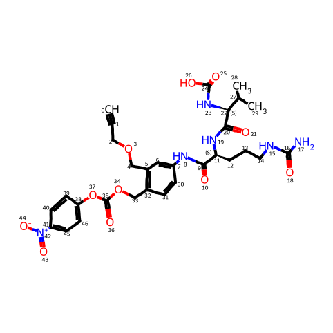 C#CCOCc1cc(NC(=O)[C@H](CCCNC(N)=O)NC(=O)[C@@H](NC(=O)O)C(C)C)ccc1COC(=O)Oc1ccc([N+](=O)[O-])cc1